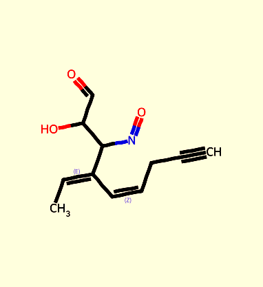 C#CC/C=C\C(=C/C)C(N=O)C(O)C=O